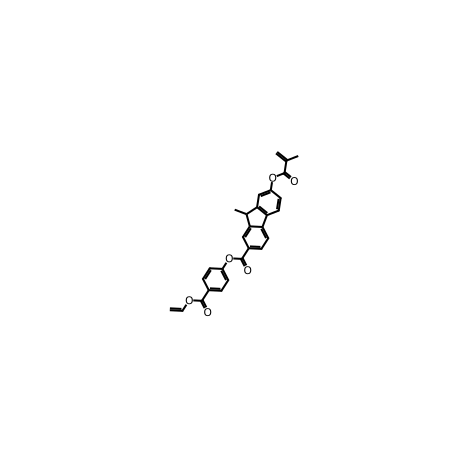 C=COC(=O)c1ccc(OC(=O)c2ccc3c(c2)C(C)c2cc(OC(=O)C(=C)C)ccc2-3)cc1